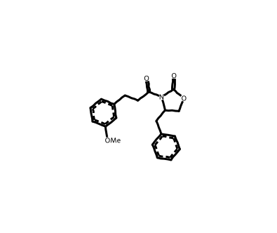 COc1cccc(CCC(=O)N2C(=O)OCC2Cc2ccccc2)c1